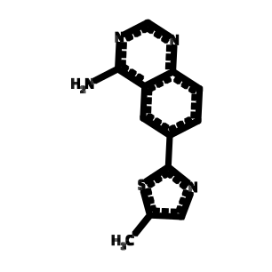 Cc1cnc(-c2ccc3ncnc(N)c3c2)s1